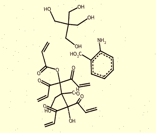 C=CC(=O)OC(C(=O)C=C)(C(=O)C=C)C(CO)(CO)C(O)(C(=O)C=C)C(=O)C=C.Nc1ccccc1C(=O)O.OCC(CO)(CO)CO